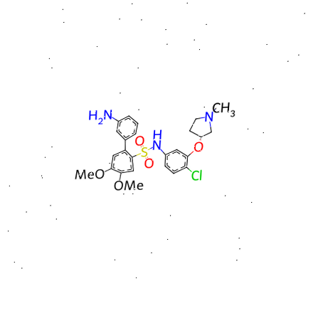 COc1cc(-c2cccc(N)c2)c(S(=O)(=O)Nc2ccc(Cl)c(O[C@@H]3CCN(C)C3)c2)cc1OC